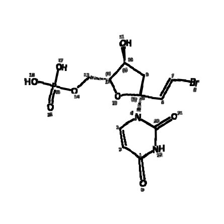 O=c1ccn([C@@]2(C=CBr)C[C@H](O)[C@@H](COP(=O)(O)O)O2)c(=O)[nH]1